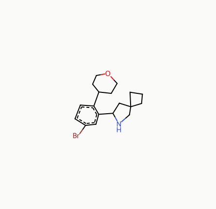 Brc1ccc(C2CCOCC2)c(C2CC3(CCC3)CN2)c1